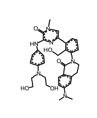 CN(C)c1ccc2c(c1)CCN(c1cccc(-c3cn(C)c(=O)c(Nc4ccc(N(CCO)CCO)cc4)n3)c1CO)C2=O